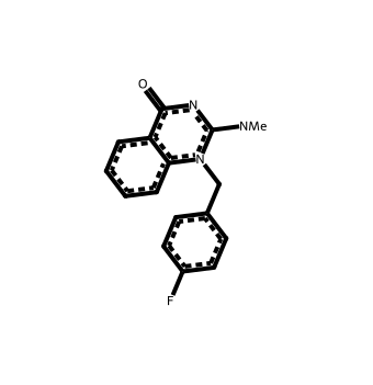 CNc1nc(=O)c2ccccc2n1Cc1ccc(F)cc1